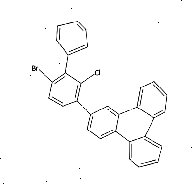 Clc1c(-c2ccc3c4ccccc4c4ccccc4c3c2)ccc(Br)c1-c1ccccc1